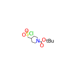 CC(C)(C)OC(=O)N1CCC(CS(=O)(=O)Cl)CC1